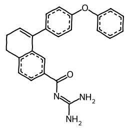 NC(N)=NC(=O)c1ccc2c(c1)C(c1ccc(Oc3ccccc3)cc1)=CCC2